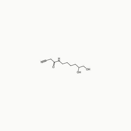 N#CCC(=O)NCCCCC(O)CO